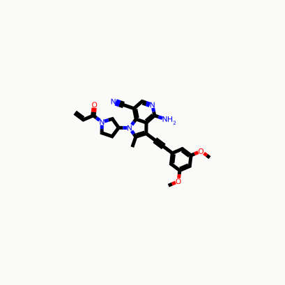 C=CC(=O)N1CCC(n2c(C)c(C#Cc3cc(OC)cc(OC)c3)c3c(N)ncc(C#N)c32)C1